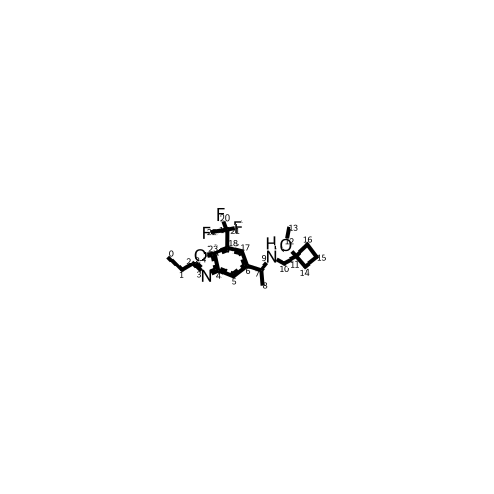 CCc1nc2cc(C(C)NCC3(OC)CCC3)cc(C(F)(F)F)c2o1